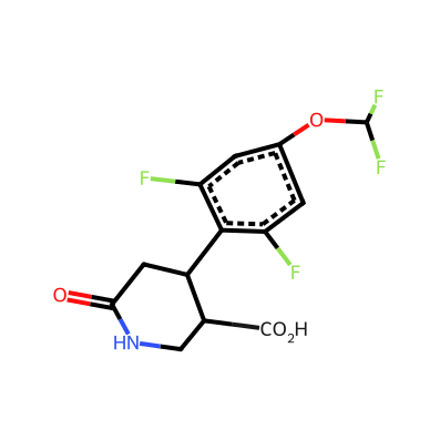 O=C1CC(c2c(F)cc(OC(F)F)cc2F)C(C(=O)O)CN1